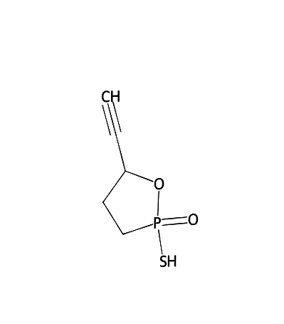 C#CC1CCP(=O)(S)O1